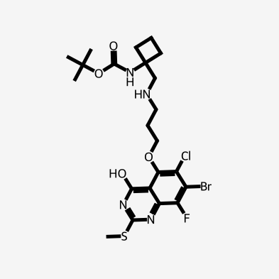 CSc1nc(O)c2c(OCCCNCC3(NC(=O)OC(C)(C)C)CCC3)c(Cl)c(Br)c(F)c2n1